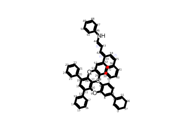 C1=CC(c2ccc3c(c2)Oc2c(-c4ccccc4)cc(-c4ccccc4)c4c2B3c2ccc(C(/C=C\c3ccccc3)=C/C=C/Nc3ccccc3)cc2O4)=CCC1